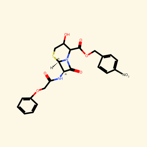 O=C(COc1ccccc1)N[C@@H]1C(=O)N2C(C(=O)OCc3ccc([N+](=O)[O-])cc3)C(O)CS[C@H]12